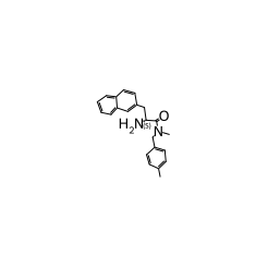 Cc1ccc(CN(C)C(=O)[C@@H](N)Cc2ccc3ccccc3c2)cc1